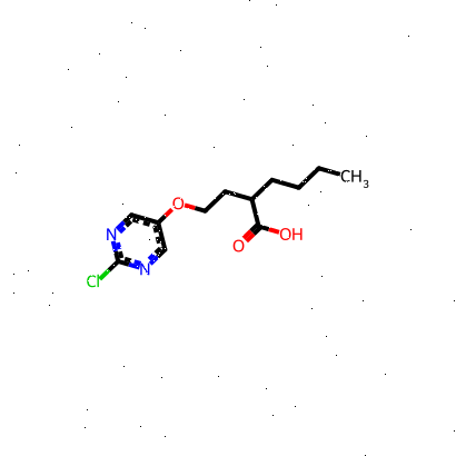 CCCCC(CCOc1cnc(Cl)nc1)C(=O)O